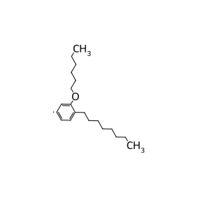 CCCCCCCCc1cc[c]cc1OCCCCCC